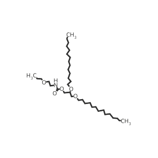 CCCCCCCCCCCCCCOCC(COC(=O)NCCOCCC)OCCCCCCCCCCCCCC